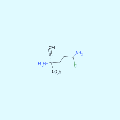 C#CC(N)(CCC(N)Cl)C(=O)O